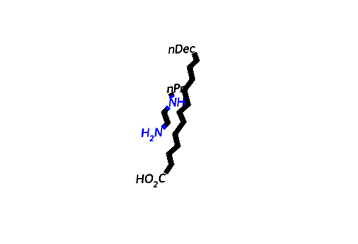 CCCCCCCCCCCCCCCCCCCCCC(=O)O.CCCNCCN